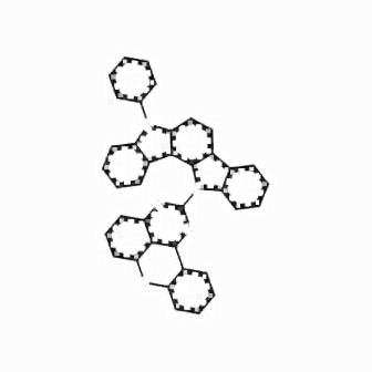 c1ccc(-n2c3ccccc3c3c2ccc2c4ccccc4n(-c4nc5c6c(cccc6n4)Sc4ccccc4-5)c23)cc1